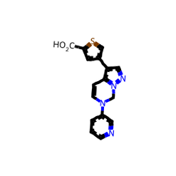 O=C(O)c1cc(-c2cnn3c2C=CN(c2cccnc2)C3)cs1